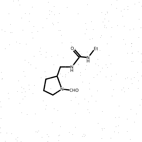 CCNC(=O)NCC1CCCN1C=O